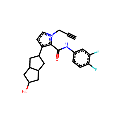 C#CCn1ccc(C2CC3CC(O)CC3C2)c1C(=O)Nc1ccc(F)c(F)c1